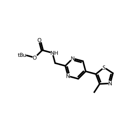 Cc1ncsc1-c1cnc(CNC(=O)OC(C)(C)C)nc1